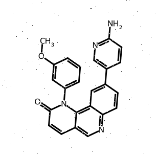 COc1cccc(-n2c(=O)ccc3cnc4ccc(-c5ccc(N)nc5)cc4c32)c1